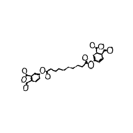 O=C(CCCCCCCCC(=O)Oc1ccc2c(c1)C(=O)OC2=O)Oc1ccc2c(c1)C(=O)OC2=O